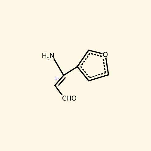 N/C(=C/C=O)c1ccoc1